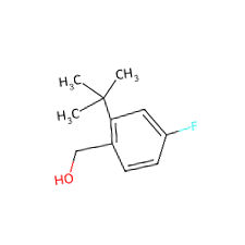 CC(C)(C)c1cc(F)ccc1CO